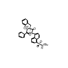 CC(C)(C)NS(=O)(=O)c1cccc2c(NC(=O)[C@H](Cc3ccccc3Cl)NC(=O)c3ccccc3)cccc12